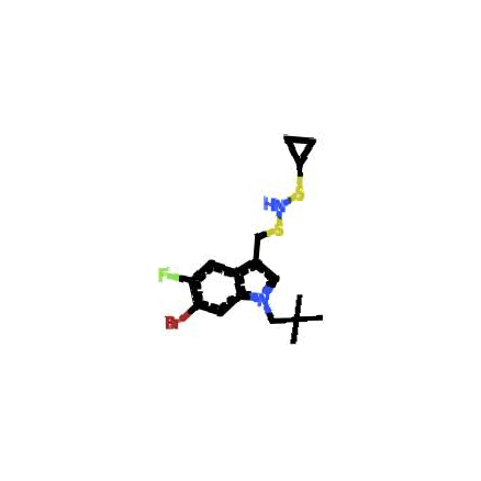 CC(C)(C)Cn1cc(CSNSC2CC2)c2cc(F)c(Br)cc21